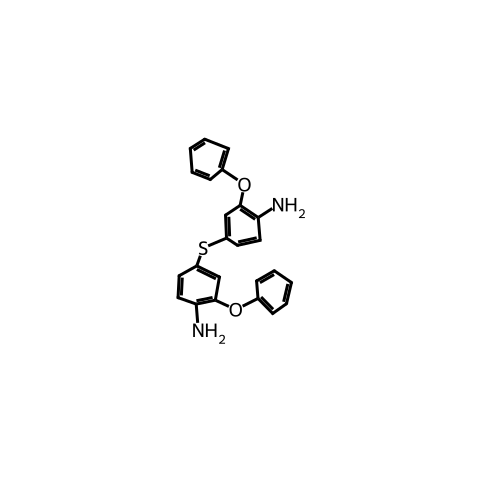 Nc1ccc(Sc2ccc(N)c(Oc3ccccc3)c2)cc1Oc1ccccc1